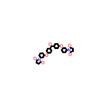 O=C(c1ccc(Oc2cccc(N3C(=O)C=CC3=O)c2)cc1)c1ccc(Oc2cccc(N3C(=O)C=CC3=O)c2)cc1